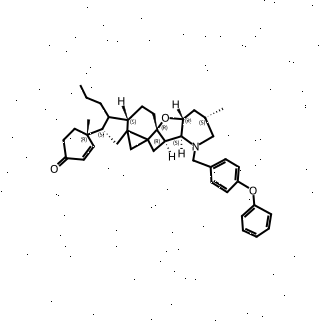 CCCC1[C@@H]2CC[C@@]34O[C@@H]5C[C@H](C)CN(Cc6ccc(Oc7ccccc7)cc6)[C@H]5[C@H]3CC43CC23C[C@@H]1[C@]1(C)C=CC(=O)CC1